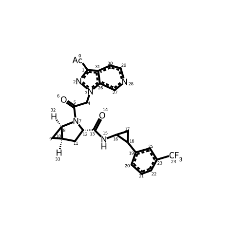 CC(=O)c1nn(CC(=O)N2[C@@H]3C[C@@H]3C[C@H]2C(=O)NC2CC2c2cccc(C(F)(F)F)c2)c2cnccc12